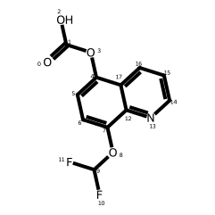 O=C(O)Oc1ccc(OC(F)F)c2ncccc12